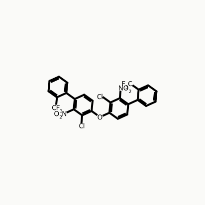 O=[N+]([O-])c1c(-c2ccccc2C(F)(F)F)ccc(Oc2ccc(-c3ccccc3C(F)(F)F)c([N+](=O)[O-])c2Cl)c1Cl